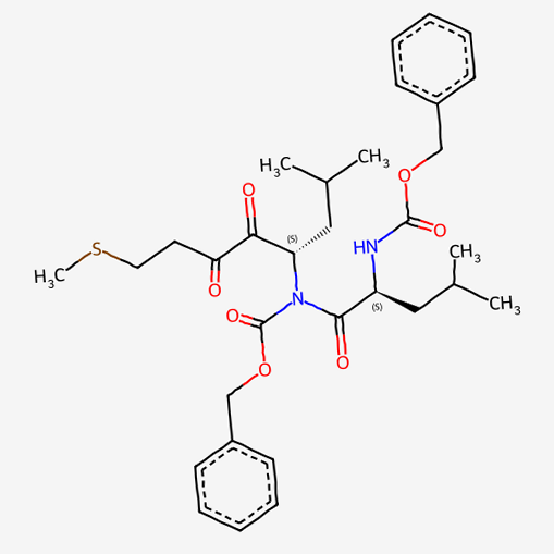 CSCCC(=O)C(=O)[C@H](CC(C)C)N(C(=O)OCc1ccccc1)C(=O)[C@H](CC(C)C)NC(=O)OCc1ccccc1